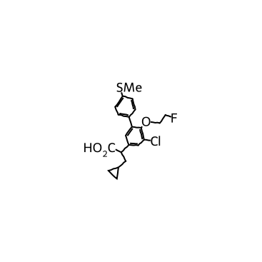 CSc1ccc(-c2cc(C(CC3CC3)C(=O)O)cc(Cl)c2OCCF)cc1